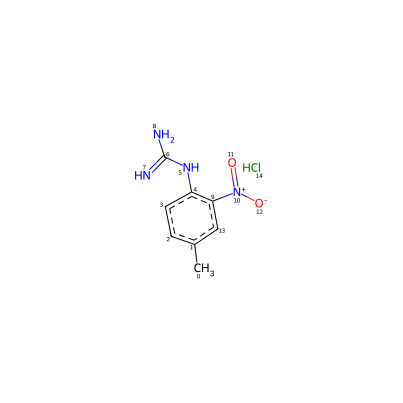 Cc1ccc(NC(=N)N)c([N+](=O)[O-])c1.Cl